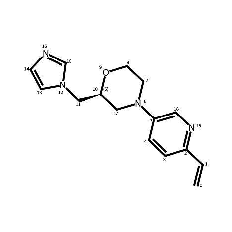 C=Cc1ccc(N2CCO[C@H](Cn3ccnc3)C2)cn1